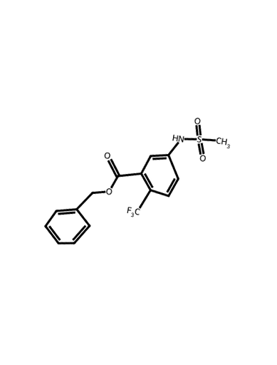 CS(=O)(=O)Nc1ccc(C(F)(F)F)c(C(=O)OCc2ccccc2)c1